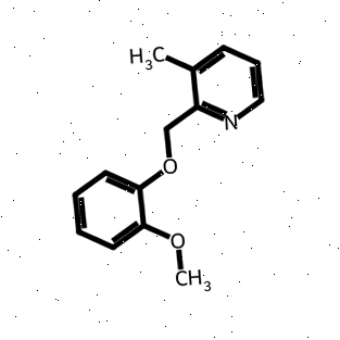 COc1ccccc1OCc1ncccc1C